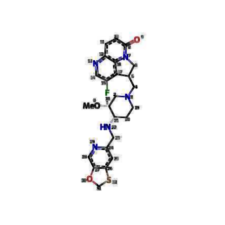 CO[C@@H]1CN(CC2Cn3c(=O)ccc4ncc(F)c2c43)CC[C@@H]1NCc1cc2c(cn1)OCS2